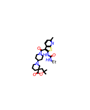 CCNC(=O)Nc1sc2nc(C)ccc2c1C(=O)N1CCC(N2CCCC3(C2)CC(C)(C)OC3=O)CC1